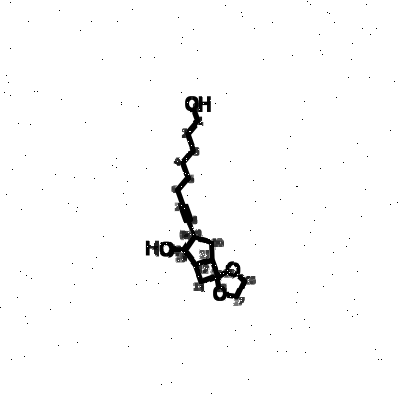 OCCCCCCC#C[C@H]1CC2C(CC23OCCO3)C1O